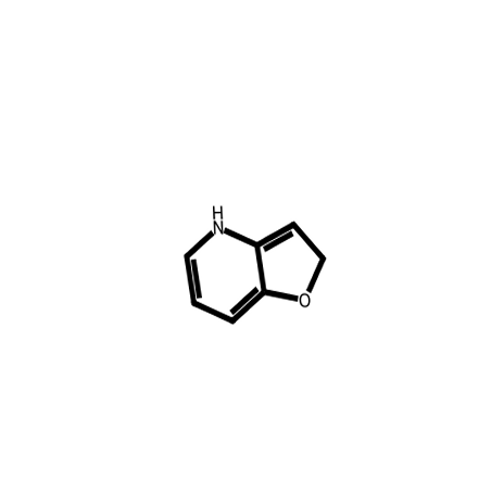 C1=CNC2=CCOC2=C1